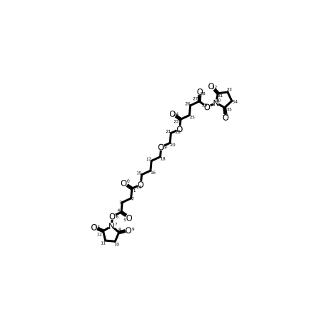 O=C(CCC(=O)ON1C(=O)CCC1=O)OCCCCOCCOC(=O)CCC(=O)ON1C(=O)CCC1=O